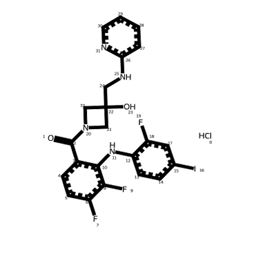 Cl.O=C(c1ccc(F)c(F)c1Nc1ccc(I)cc1F)N1CC(O)(CNc2ccccn2)C1